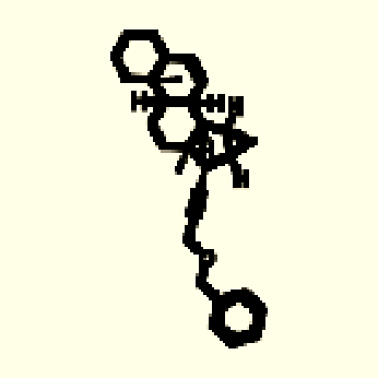 C[C@]12CC[C@H]3[C@@H](C=CC4CCCC[C@@]43C)[C@@H]1[C@@H]1C[C@@H]1[C@H]2C#CCOCc1ccccc1